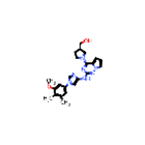 COc1cc(-n2cnc(Nc3nc(N4CC[C@@H](CO)C4)c4cccn4n3)c2)cc(C)c1C